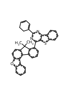 CC1(C)c2ccc3oc4ccccc4c3c2-c2cccc(-c3nc(C4=CC=CCC4)nc4c3sc3ccccc34)c21